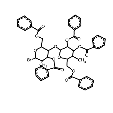 CC1C(Br)OC(COC(=O)c2ccccc2)C(OC2OC(COC(=O)c3ccccc3)C(C)C(OC(=O)c3ccccc3)C2OC(=O)c2ccccc2)C1OC(=O)c1ccccc1